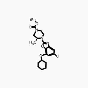 C[C@H]1CN(C(=O)OC(C)(C)C)CCN1c1nc2cc(Cl)cc(OC3CCCCC3)c2o1